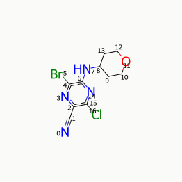 N#Cc1nc(Br)c(NC2CCOCC2)nc1Cl